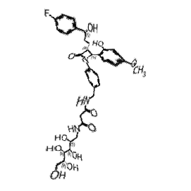 COc1ccc([C@@H]2[C@@H](CC[C@H](O)c3ccc(F)cc3)C(=O)N2c2ccc(CNC(=O)CC(=O)NC[C@H](O)[C@@H](O)[C@H](O)[C@H](O)CO)cc2)c(O)c1